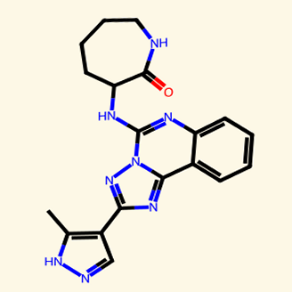 Cc1[nH]ncc1-c1nc2c3ccccc3nc(NC3CCCCNC3=O)n2n1